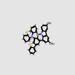 CC(C)(C)c1ccc2c(c1)c1cc(C(C)(C)C)cc3c1n2B1c2cccc4c2N(c2ccccc2S4)c2c1c-3cc1c2sc2ccccc21